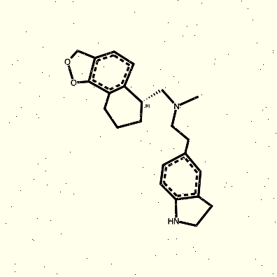 CN(CCc1ccc2c(c1)CCN2)C[C@@H]1CCCc2c1ccc1c2OOC1